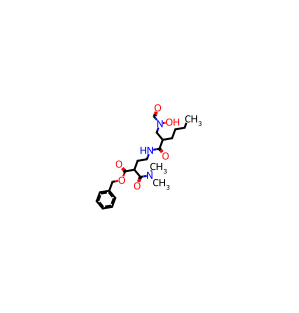 CCCCC(CN(O)C=O)C(=O)NCCC(C(=O)OCc1ccccc1)C(=O)N(C)C